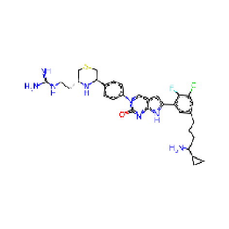 N=C(N)NCC[C@@H]1CSC[C@@H](c2ccc(-n3cc4cc(-c5cc(CCCC(N)C6CC6)cc(Cl)c5F)[nH]c4nc3=O)cc2)N1